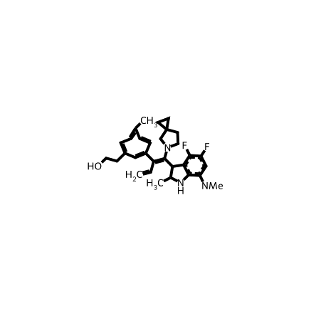 C=CC(=C(\C1c2c(F)c(F)cc(NC)c2NC1C)N1CCC2(CC2)C1)/C1=C/C(CCO)=C\C=C(C)\C=C\1